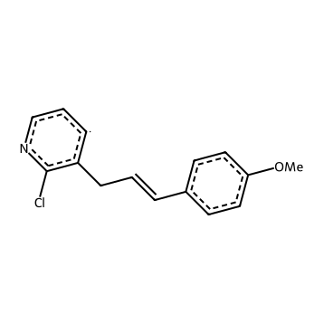 COc1ccc(C=CCc2[c]ccnc2Cl)cc1